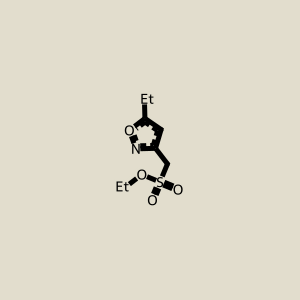 CCOS(=O)(=O)Cc1cc(CC)on1